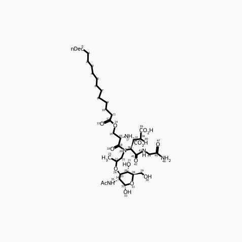 CCCCCCCCCCCCCCCCCCCCCC(=O)OC[C@H](N)C(=O)N(CC(C)O[C@H]1[C@H](O)[C@@H](CO)O[C@H](O)[C@@H]1NC(C)=O)[C@@H](CC(C(=O)O)C(=O)O)C(=O)NCC(N)=O